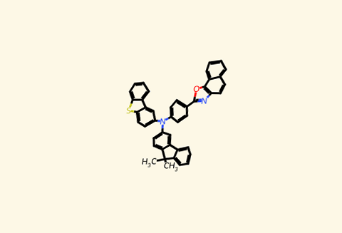 CC1(C)c2ccccc2-c2cc(N(c3ccc(-c4nc5ccc6ccccc6c5o4)cc3)c3ccc4sc5ccccc5c4c3)ccc21